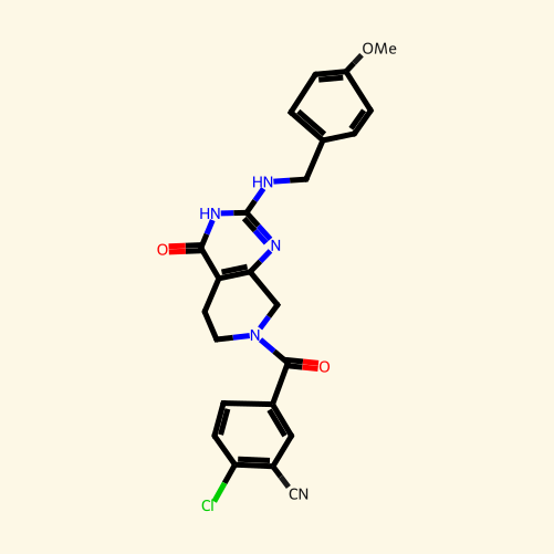 COc1ccc(CNc2nc3c(c(=O)[nH]2)CCN(C(=O)c2ccc(Cl)c(C#N)c2)C3)cc1